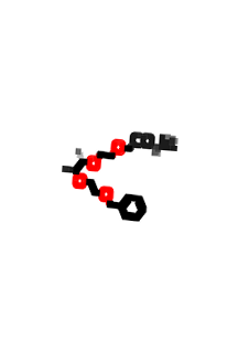 CCOC(=O)COCCO[C@@H](C)[C@H](C)OCCOCc1ccccc1